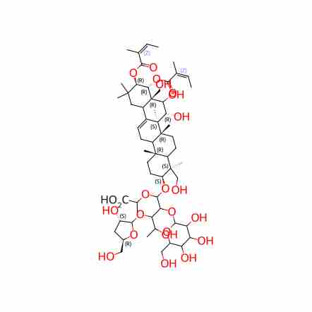 C/C=C(/C)C(=O)O[C@H]1[C@H](OC(=O)/C(C)=C\C)[C@@]2(CO)C(CC1(C)C)C1=CCC3[C@@]4(C)CC[C@H](OC(OC(C)C(=O)O)C(OC5OC(CO)C(O)C(O)C5O)C(OC5O[C@@H](CO)C[C@@H]5O)C(C)O)[C@](C)(CO)C4CC[C@@]3(C)[C@]1(C)[C@@H](O)C2O